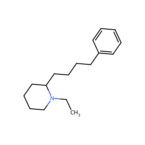 CCN1CCCCC1CCCCc1ccccc1